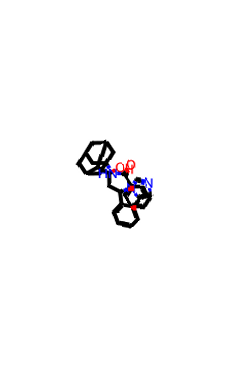 O=C(NC12CC3CC(C1)C(C(O)CC1c4ccccc4-c4cncn41)C(C3)C2)c1ccccc1